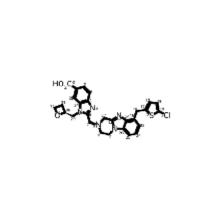 O=C(O)c1ccc2nc(CN3CCn4c(nc5c(Cc6ccc(Cl)s6)cccc54)C3)n(C[C@@H]3CCO3)c2c1